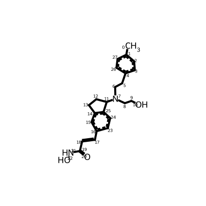 Cc1ccc(CCN(CCO)C2CCc3cc(C=CC(=O)NO)ccc32)cc1